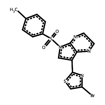 Cc1ccc(S(=O)(=O)n2cc(-c3nc(Br)cs3)c3nccnc32)cc1